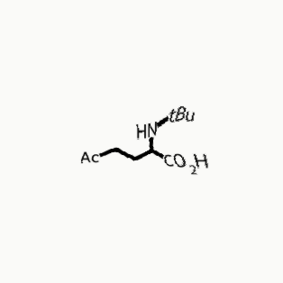 CC(=O)CCC(NC(C)(C)C)C(=O)O